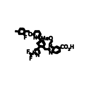 COCCn1c(Cc2ccc(-c3cccc(OCc4ccc(C)cc4F)n3)cc2-c2cnn(C(F)F)c2)nc2ccc(C(=O)O)cc21